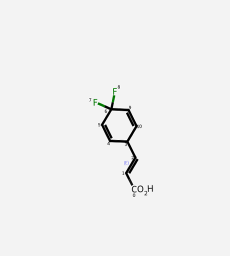 O=C(O)/C=C/C1C=CC(F)(F)C=C1